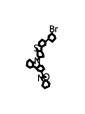 Brc1cccc(-c2ccc3sc4cc(-n5c6ccccc6c6cc(-c7nc8ccccc8o7)ccc65)ccc4c3c2)c1